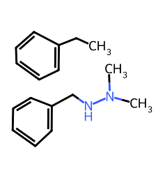 CCc1ccccc1.CN(C)NCc1ccccc1